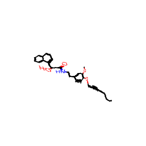 CCCC#CCOc1ccc(CCNC(=O)C(O)c2cccc3ccccc23)cc1OC